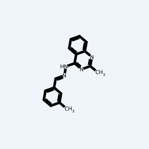 Cc1cccc(/C=N/Nc2nc(C)nc3ccccc23)c1